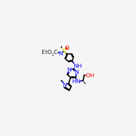 CCOC(=O)N=S(C)(=O)c1ccc(Nc2ncc(-c3cccn3C)c(N[C@H](C)CO)n2)cc1